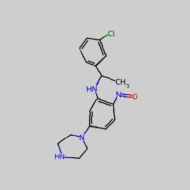 CC(Nc1cc(N2CCNCC2)ccc1N=O)c1cccc(Cl)c1